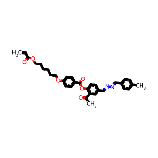 C=CC(=O)OCCCCCCOc1ccc(C(=O)Oc2ccc(/C=N/N=C/c3ccc(C)cc3)cc2C(C)=O)cc1